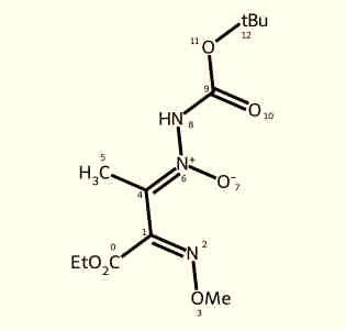 CCOC(=O)C(=NOC)/C(C)=[N+](\[O-])NC(=O)OC(C)(C)C